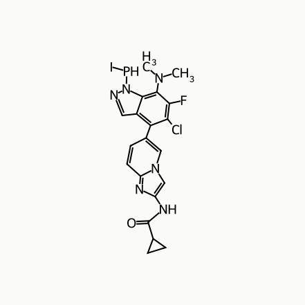 CN(C)c1c(F)c(Cl)c(-c2ccc3nc(NC(=O)C4CC4)cn3c2)c2cnn(PI)c12